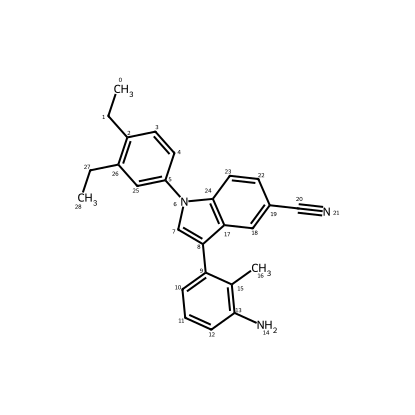 CCc1ccc(-n2cc(-c3cccc(N)c3C)c3cc(C#N)ccc32)cc1CC